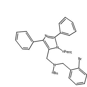 CCCCCn1c(-c2ccccc2)nc(-c2ccccc2)c1CN(CCCC)Cc1ccccc1Br